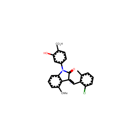 COc1cccc2c1/C(=C/c1c(C)cccc1Cl)C(=O)N2c1ccc(C(=O)O)c(O)c1